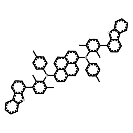 Cc1ccc(N(c2c(C)ccc(-c3cccc4c3oc3ccccc34)c2C)c2ccc3ccc4c(N(c5ccc(C)cc5)c5c(C)ccc(-c6cccc7c6oc6ccccc67)c5C)ccc5ccc2c3c54)cc1